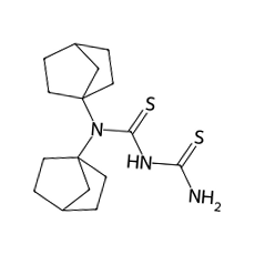 NC(=S)NC(=S)N(C12CCC(CC1)C2)C12CCC(CC1)C2